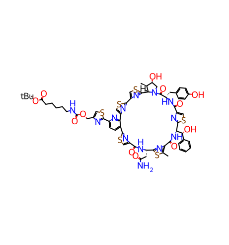 Cc1sc2nc1C(=O)N[C@@H]([C@H](O)c1ccccc1)c1nc(cs1)C(=O)N[C@@H](Cc1ccc(O)cc1)C(=O)N1C[C@H](O)[C@H](C)[C@H]1c1nc(cs1)-c1nc(cs1)-c1nc(-c3nc(COC(=O)NCCCCCC(=O)OC(C)(C)C)cs3)ccc1-c1nc(cs1)C(=O)N[C@H]2CC(N)=O